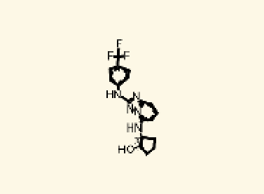 O[C@@H]1CCC[C@H]1Nc1cccc2nc(Nc3ccc(C(F)(F)F)cc3)nn12